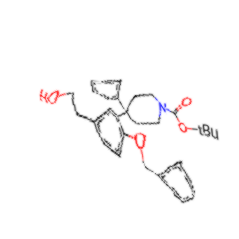 CC(C)(C)OC(=O)N1CCC(c2ccccc2)(c2cc(CCO)ccc2OCc2ccccc2)CC1